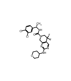 C[C@@H](NC(=O)N1Cc2nc(NC3CCOCC3)ncc2C(F)(F)C1)c1ccc(Cl)c(Cl)c1